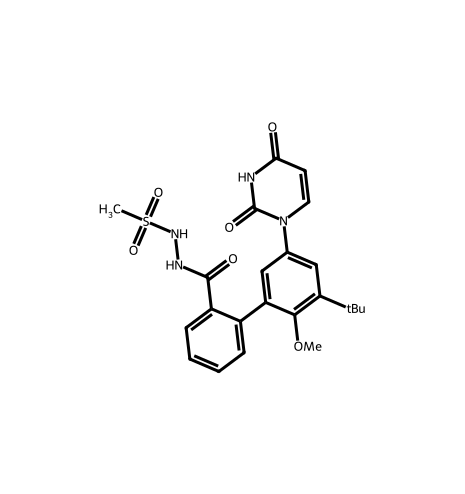 COc1c(-c2ccccc2C(=O)NNS(C)(=O)=O)cc(-n2ccc(=O)[nH]c2=O)cc1C(C)(C)C